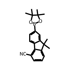 CC1(C)c2cc(B3OC(C)(C)C(C)(C)O3)ccc2-c2c(C#N)cccc21